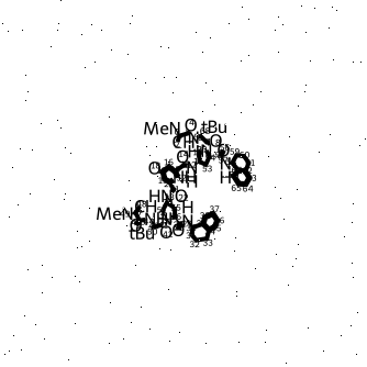 CN[C@@H](C)C(=O)N[C@H](C(=O)N1C[C@@H](NC(=O)c2cc(=O)cc(C(=O)N[C@H]3C[C@@H](C(=O)N[C@@H]4CCCc5ccccc54)N(C(=O)[C@@H](NC(=O)[C@H](C)NC)C(C)(C)C)C3)[nH]2)C[C@H]1C(=O)N[C@@H]1CCCc2ccccc21)C(C)(C)C